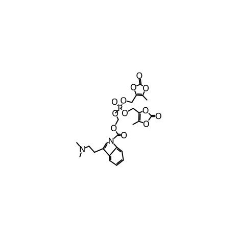 Cc1oc(=O)oc1COP(=O)(OCOC(=O)n1cc(CCN(C)C)c2ccccc21)OCc1oc(=O)oc1C